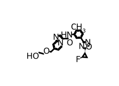 Cc1ccc(-c2noc([C@@H]3C[C@H]3F)n2)cc1NC(=O)c1cnc2cc(COCCO)ccn12